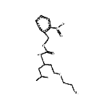 CC(C)CC(CCOCCO)NC(=O)OCc1ccccc1[N+](=O)[O-]